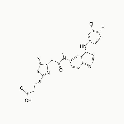 CN(C(=O)Cn1nc(SCCC(=O)O)sc1=S)c1ccc2ncnc(Nc3ccc(F)c(Cl)c3)c2c1